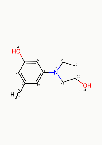 Cc1cc(O)cc(N2CCC(O)C2)c1